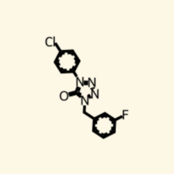 O=c1n(Cc2cccc(F)c2)nnn1-c1ccc(Cl)cc1